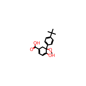 COC1(c2ccc(C(C)(C)C)cc2)CC(C(=O)O)=CC=C1O